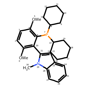 COc1ccc(OC)c(P(C2CCCCC2)C2CCCCC2)c1-c1cc2ccccc2n1C